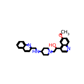 COc1ccc2nccc(C(O)CN3CCC(NCc4ccc5ccccc5n4)CC3)c2c1